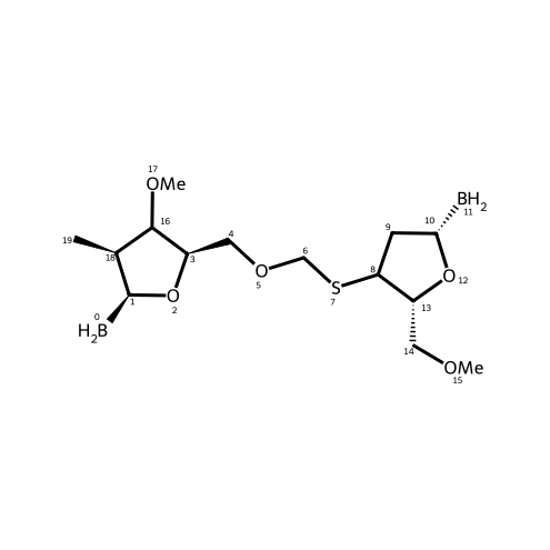 B[C@@H]1O[C@H](COCSC2C[C@H](B)O[C@@H]2COC)C(OC)[C@@H]1C